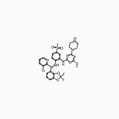 COc1nc(Nc2cc(S(C)(=O)=O)ccc2N[C@@H](c2cccc3c2OC(F)(F)O3)c2ncccc2Cl)nc(N2CCNCC2)n1